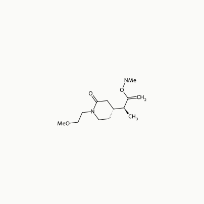 C=C(ONC)[C@@H](C)[C@@H]1CCN(CCOC)C(=O)C1